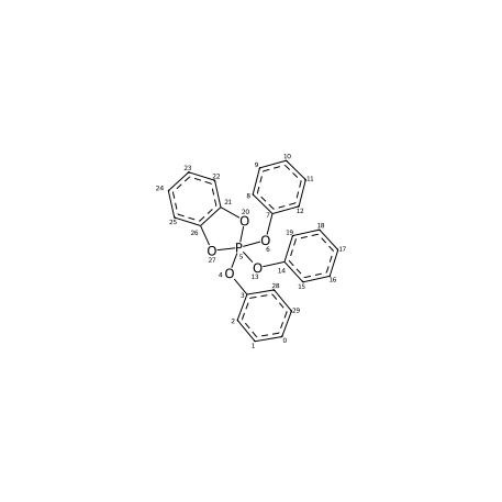 c1ccc(OP2(Oc3ccccc3)(Oc3ccccc3)Oc3ccccc3O2)cc1